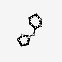 c1cnnc(On2cccn2)c1